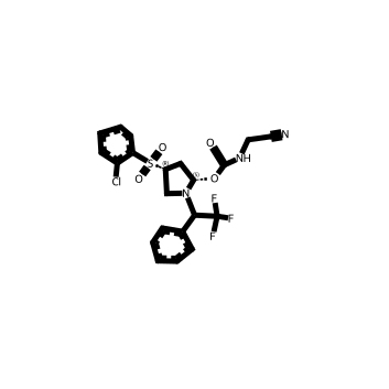 N#CCNC(=O)O[C@H]1C[C@@H](S(=O)(=O)c2ccccc2Cl)CN1C(c1ccccc1)C(F)(F)F